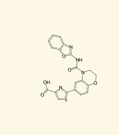 O=C(O)c1csc(-c2ccc3c(c2)N(C(=O)Nc2nc4ccccc4o2)CCO3)n1